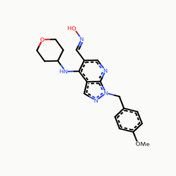 COc1ccc(Cn2ncc3c(NC4CCOCC4)c(C=NO)cnc32)cc1